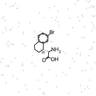 NC(C(=O)O)[C@@H]1CCCc2ccc(Br)cc21